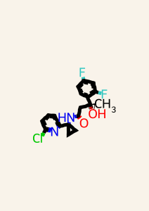 C[C@](O)(CC(=O)NC1(c2cccc(Cl)n2)CC1)c1ccc(F)cc1F